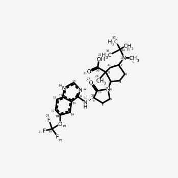 CN(C1CCC(N2CC[C@H](Nc3ncnc4ccc(OC(F)(F)F)cc34)C2=O)C(C)(C(=O)O)C1)C(C)(C)C